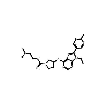 CCn1c(-c2cnc(C)nc2)nc2c(OC3CCN(C(=O)OCCN(C)C)C3)ncnc21